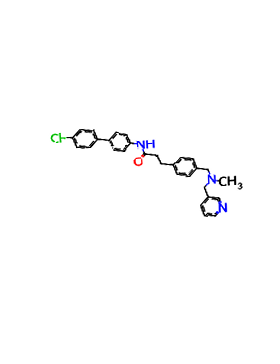 CN(Cc1ccc(CCC(=O)Nc2ccc(-c3ccc(Cl)cc3)cc2)cc1)Cc1cccnc1